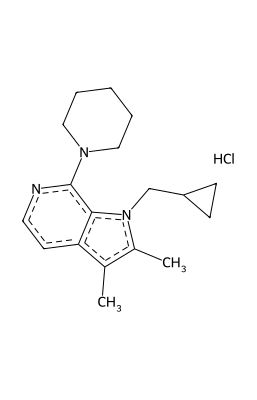 Cc1c(C)n(CC2CC2)c2c(N3CCCCC3)nccc12.Cl